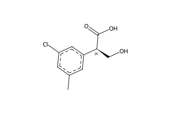 Cc1cc(Cl)cc([C@H](CO)C(=O)O)c1